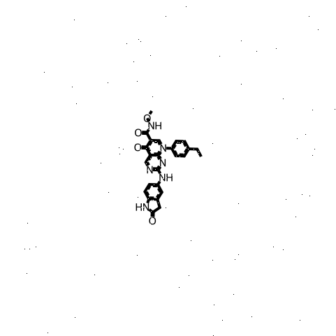 CCc1ccc(-n2cc(C(=O)NOC)c(=O)c3cnc(Nc4ccc5c(c4)CC(=O)N5)nc32)cc1